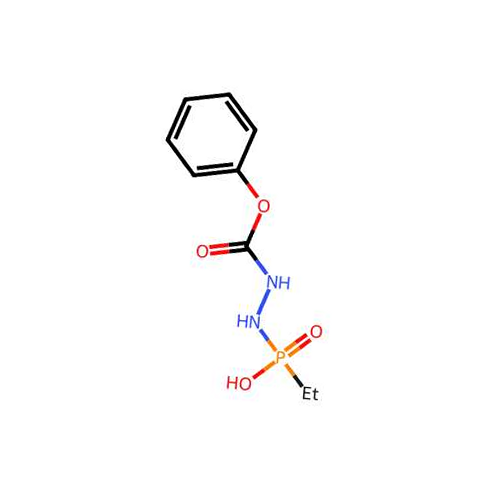 CCP(=O)(O)NNC(=O)Oc1ccccc1